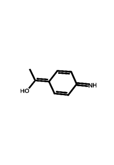 CC(O)=C1C=CC(=N)C=C1